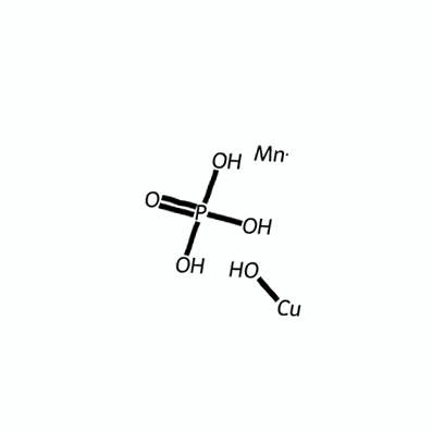 O=P(O)(O)O.[Mn].[OH][Cu]